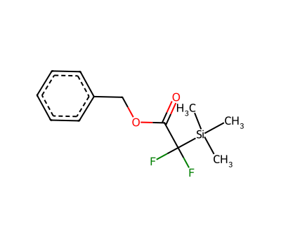 C[Si](C)(C)C(F)(F)C(=O)OCc1ccccc1